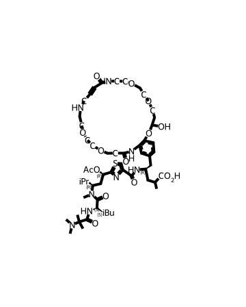 CC[C@H](C)[C@H](NC(=O)C(C)(C)N(C)C)C(=O)N(C)[C@H](C[C@@H](OC(C)=O)c1nc(C(=O)N[C@@H](Cc2ccc3c(c2)NC(=O)CCOCCOCCNCC#CC(=O)NCCOCCOCCC(O)O3)CC(C)C(=O)O)cs1)C(C)C